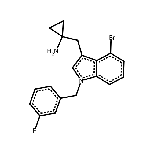 NC1(Cc2cn(Cc3cccc(F)c3)c3cccc(Br)c23)CC1